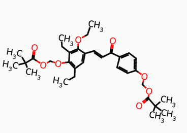 CCOc1c(C=CC(=O)c2ccc(OCOC(=O)C(C)(C)C)cc2)cc(CC)c(OCOC(=O)C(C)(C)C)c1CC